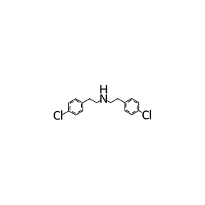 Clc1ccc(CCNCCc2ccc(Cl)cc2)cc1